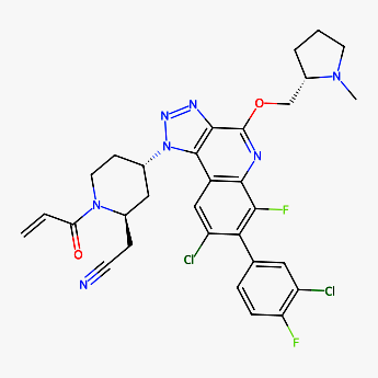 C=CC(=O)N1CC[C@H](n2nnc3c(OC[C@@H]4CCCN4C)nc4c(F)c(-c5ccc(F)c(Cl)c5)c(Cl)cc4c32)C[C@H]1CC#N